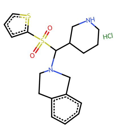 Cl.O=S(=O)(c1cccs1)C(C1CCCNC1)N1CCc2ccccc2C1